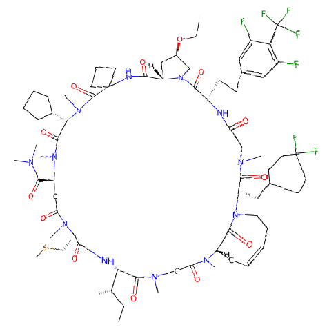 CCO[C@@H]1C[C@H]2C(=O)NC3(CCC3)C(=O)N(C)[C@@H](C3CCCC3)C(=O)N(C)[C@H](C(=O)N(C)C)CC(=O)N(C)[C@@H](CSC)C(=O)N[C@@H]([C@@H](C)CC)C(=O)N(C)CC(=O)N(C)[C@H]3C/C=C\CCN(C3=O)[C@@H](CC3CCC(F)(F)CC3)C(=O)N(C)CC(=O)N[C@@H](CCc3cc(F)c(C(F)(F)F)c(F)c3)C(=O)N2C1